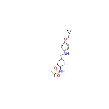 CC(C)S(=O)(=O)NC1CCC(CNc2ccc(OCC3CC3)cc2)CC1